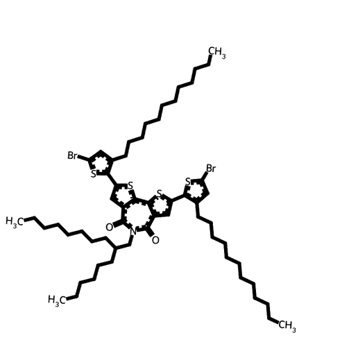 CCCCCCCCCCCCc1cc(Br)sc1-c1cc2c(=O)n(CC(CCCCCC)CCCCCCCC)c(=O)c3cc(-c4sc(Br)cc4CCCCCCCCCCCC)sc3c2s1